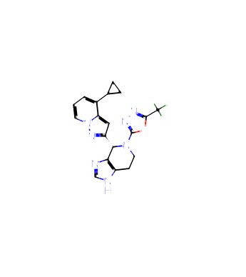 FC(F)(F)c1nnc(N2CCc3[nH]cnc3[C@H]2c2cc3c(C4CC4)cccn3n2)o1